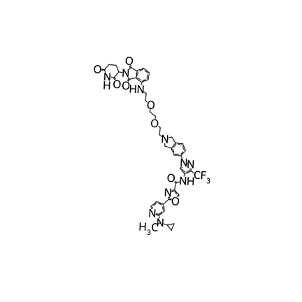 CN(c1cc(-c2nc(C(=O)Nc3cn(-c4ccc5c(c4)CN(CCOCCOCCNc4cccc6c4C(=O)N(C4CCC(=O)NC4=O)C6=O)C5)nc3C(F)(F)F)co2)ccn1)C1CC1